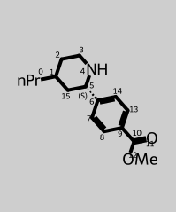 CCCC1CCN[C@H](c2ccc(C(=O)OC)cc2)C1